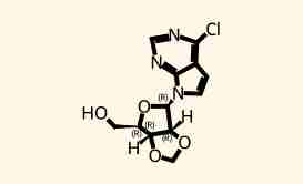 OC[C@H]1O[C@@H](n2ccc3c(Cl)ncnc32)[C@@H]2OCO[C@@H]21